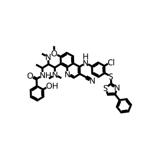 COc1ccc2c(Nc3ccc(Sc4nc(-c5ccccc5)cs4)c(Cl)c3)c(C#N)cnc2c1C(C(C(C)NC(=O)c1ccccc1O)N(C)C)N(C)C